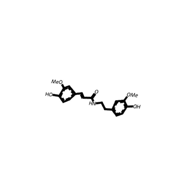 COc1cc(/C=C/C(=O)NCCc2ccc(O)c(OC)c2)ccc1O